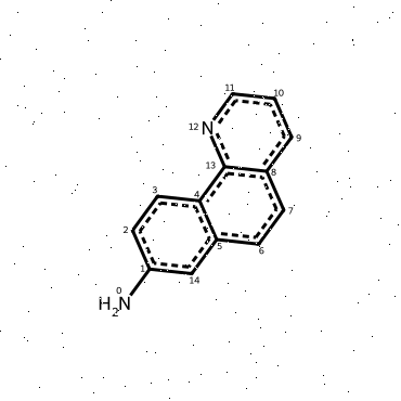 Nc1ccc2c(ccc3cccnc32)c1